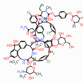 CC[C@H]1O[C@@H](Oc2ccc(COC(=O)N(C)[C@H](CC(C)C)C(=O)N[C@H]3C(=O)C[C@@H](CC(N)=O)C(=O)N[C@H]4C(=O)C[C@H]5C(=O)N[C@H](C(=O)N[C@H](C(=O)O)c6cc(O)cc7c6-c6cc5ccc6C7(O)O)[C@H](O[C@H]5C[C@](C)(N)[C@@H](O)[C@H](C)O5)c5ccc(c(Cl)c5)Oc5cc4cc(c5O[C@@H]4O[C@H](CO)[C@@H](O)[C@H](O)[C@H]4O[C@H]4C[C@](C)(NCc5ccc(-c6ccc(Cl)cc6)cc5)[C@@H](O)[C@H](C)O4)Oc4ccc(cc4Cl)[C@H]3O)cc2)[C@H](O)[C@@H](O)[C@@H]1O